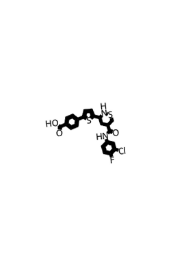 O=C(O)c1ccc(-c2ccc(C3CC(C(=O)Nc4ccc(F)c(Cl)c4)CSN3)s2)cc1